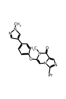 CC(C)c1ncc2c(=O)n(C)c(Oc3ccc(-c4cnn(C)c4)cc3)cn12